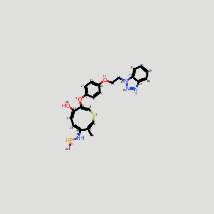 Cc1cscc(Oc2ccc(OCCn3nnc4ccccc43)cc2)c(O)ccc1NPI